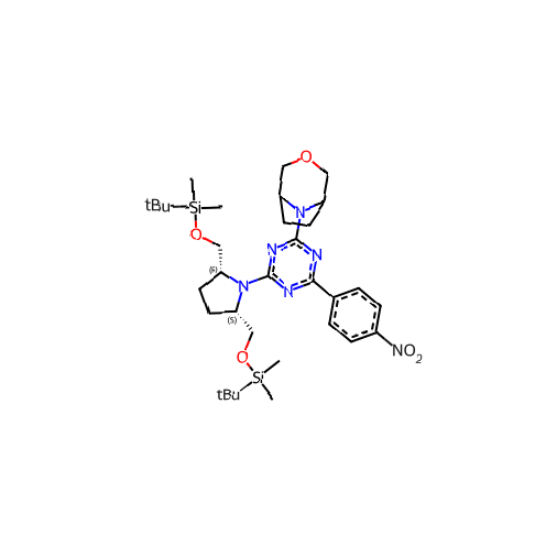 CC(C)(C)[Si](C)(C)OC[C@H]1CC[C@@H](CO[Si](C)(C)C(C)(C)C)N1c1nc(-c2ccc([N+](=O)[O-])cc2)nc(N2C3CCC2COC3)n1